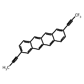 CC#Cc1ccc2cc3cc4cc(C#CC(F)(F)F)ccc4cc3cc2c1